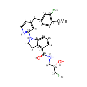 COc1ccc(Cc2ccnc(N3CCc4c(C(=O)NC[C@H](O)CF)cccc43)c2)cc1F